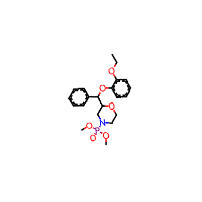 CCOc1ccccc1OC(c1ccccc1)C1CN(P(=O)(OC)OC)CCO1